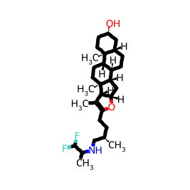 CC1=C(CC[C@H](C)CNC(C)C(F)F)O[C@H]2C[C@H]3[C@@H]4CC[C@H]5C[C@@H](O)CC[C@]5(C)[C@H]4CC[C@]3(C)[C@@H]12